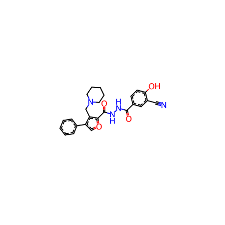 N#Cc1cc(C(=O)NNC(=O)c2occ(-c3ccccc3)c2CN2CCCCC2)ccc1O